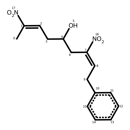 CC(=CCC(O)CC(=CCc1ccccc1)[N+](=O)[O-])[N+](=O)[O-]